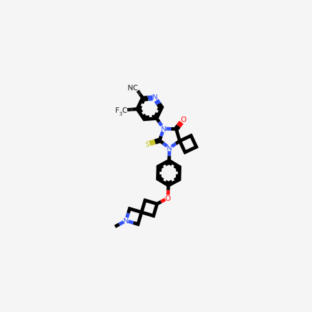 CN1CC2(CC(Oc3ccc(N4C(=S)N(c5cnc(C#N)c(C(F)(F)F)c5)C(=O)C45CCC5)cc3)C2)C1